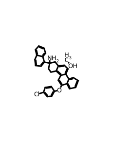 CO.NC1(c2cccc3ccccc23)CCc2c(ccc3c2cc(Oc2ccc(Cl)cc2)c2ccccc23)C1